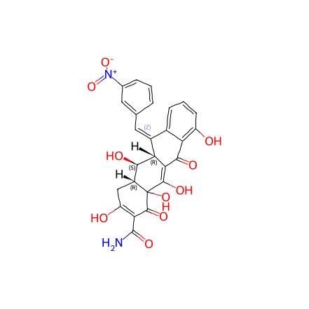 NC(=O)C1=C(O)C[C@@H]2[C@@H](O)[C@H]3C(=C(O)C2(O)C1=O)C(=O)c1c(O)cccc1/C3=C\c1cccc([N+](=O)[O-])c1